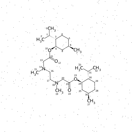 CC(C)[C@@H]1CC[C@@H](C)C[C@H]1OC(=O)CN(C)CCN(C)CC(=O)O[C@@H]1C[C@H](C)CC[C@H]1C(C)C